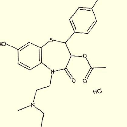 CCN(C)CCN1C(=O)C(OC(C)=O)C(c2ccc(OC)cc2)Sc2cc(Cl)ccc21.Cl